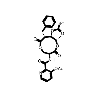 CC(=O)Oc1cccnc1C(=O)N[C@H]1COC(=O)[C@H](Cc2ccccc2)[C@@H](OC(=O)C(C)C)[C@H](C)OC1=O